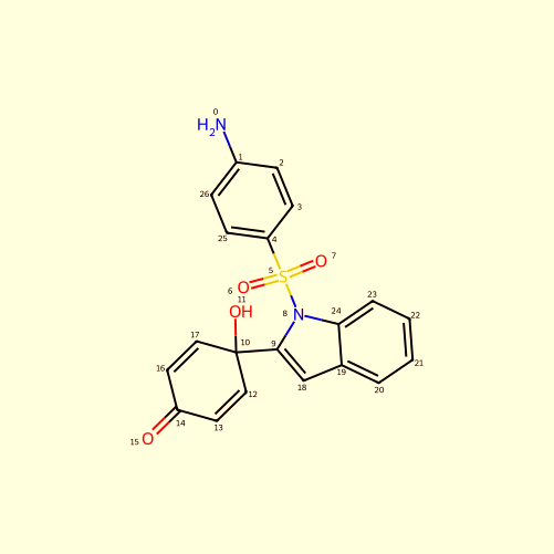 Nc1ccc(S(=O)(=O)n2c(C3(O)C=CC(=O)C=C3)cc3ccccc32)cc1